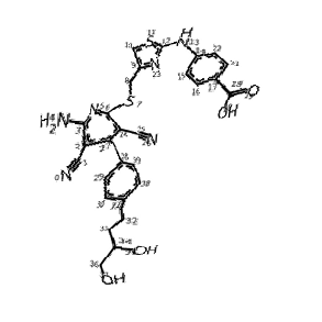 N#Cc1c(N)nc(SCc2csc(Nc3ccc(C(=O)O)cc3)n2)c(C#N)c1-c1ccc(CCC(O)CO)cc1